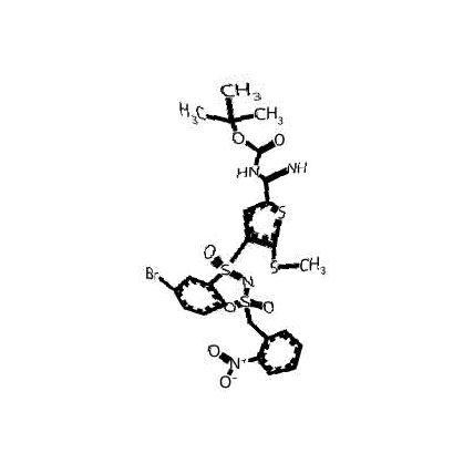 CSc1sc(C(=N)NC(=O)OC(C)(C)C)cc1S(=O)(=NS(=O)(=O)Cc1ccccc1[N+](=O)[O-])c1cccc(Br)c1